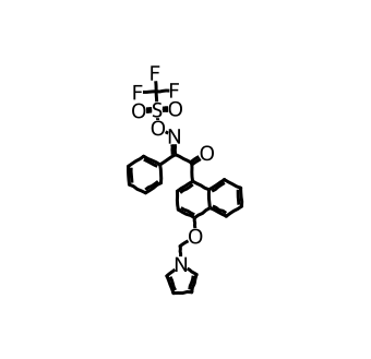 O=C(/C(=N/OS(=O)(=O)C(F)(F)F)c1ccccc1)c1ccc(OCn2cccc2)c2ccccc12